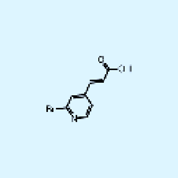 O=C(O)/C=C/c1ccnc(Br)c1